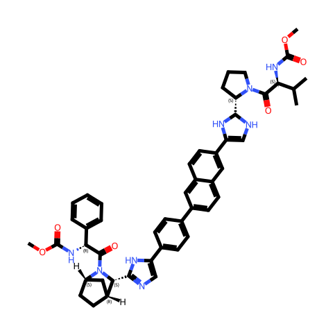 COC(=O)N[C@H](C(=O)N1CCC[C@H]1C1NC=C(c2ccc3cc(-c4ccc(-c5cnc([C@@H]6[C@@H]7CC[C@@H](C7)N6C(=O)[C@H](NC(=O)OC)c6ccccc6)[nH]5)cc4)ccc3c2)N1)C(C)C